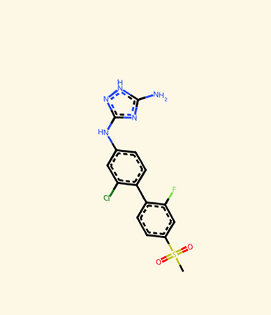 CS(=O)(=O)c1ccc(-c2ccc(Nc3n[nH]c(N)n3)cc2Cl)c(F)c1